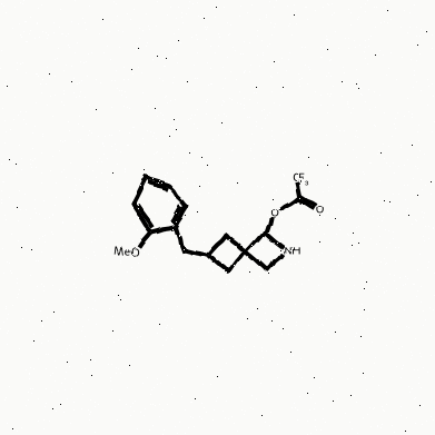 COc1ccccc1CC1CC2(CNC2OC(=O)C(F)(F)F)C1